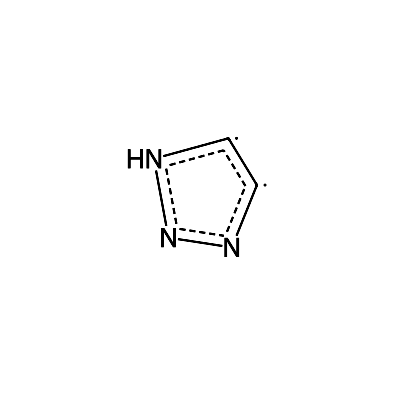 [c]1[c][nH]nn1